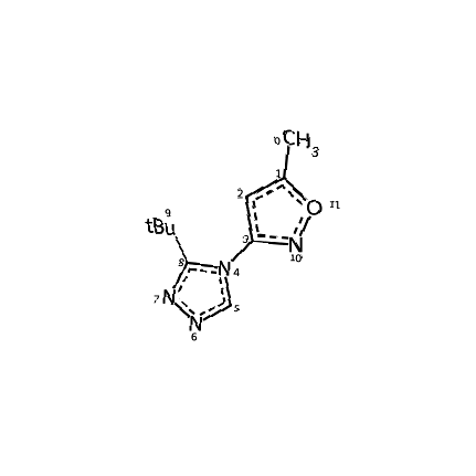 Cc1cc(-n2cnnc2C(C)(C)C)no1